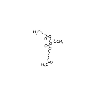 CCCCC(=O)OC(COC)COC(=O)OCCCCCC(C)=O